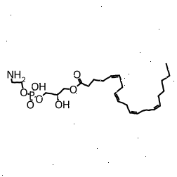 CCCCC/C=C\C/C=C\C/C=C\C/C=C\CCCC(=O)OC[C@@H](O)COP(=O)(O)OCCN